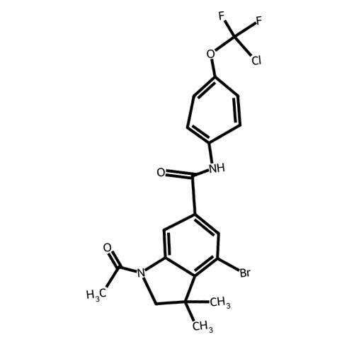 CC(=O)N1CC(C)(C)c2c(Br)cc(C(=O)Nc3ccc(OC(F)(F)Cl)cc3)cc21